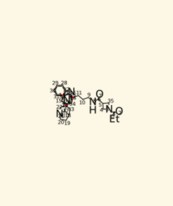 CCC(=O)N1CC(C(=O)NCCCc2cccc(C3C4CC[N@@]3CC(n3cnc5ccccc53)C4)c2)C1